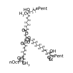 CCCCC/C=C/CC(O)C(C)CCCCCCCC(=O)OCC(COC(=O)CCCCCCCC(C)C(O)CCCCCCCC)OC(=O)CCCCCCC/C=C/CC(O)C(CCCCC)OCC